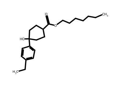 CCCCCCCOC(=O)C1CCC(O)(c2ccc(CC)cc2)CC1